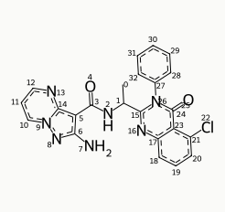 CC(NC(=O)c1c(N)nn2cccnc12)c1nc2cccc(Cl)c2c(=O)n1-c1ccccc1